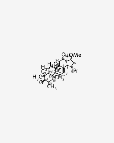 COC(=O)C12CCC(C(C)C)C1C1CCC3C4(C)CC(C)C(=O)C(C)(C)C4CCC3(C)[C@]1(C)CC2